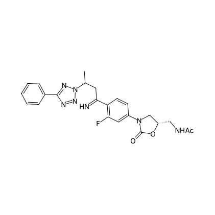 CC(=O)NC[C@H]1CN(c2ccc(C(=N)CC(C)n3nnc(-c4ccccc4)n3)c(F)c2)C(=O)O1